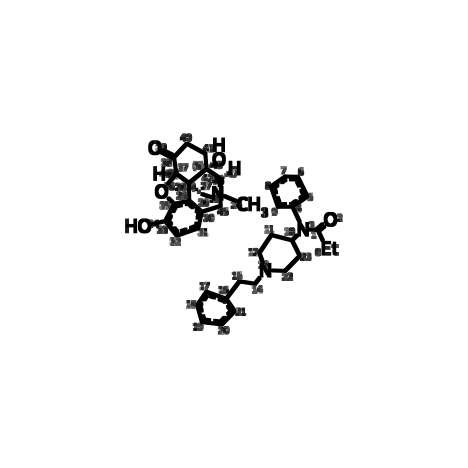 CCC(=O)N(c1ccccc1)C1CCN(CCc2ccccc2)CC1.CN1CC[C@]23c4c5ccc(O)c4O[C@H]2C(=O)CC[C@@]3(O)[C@H]1C5